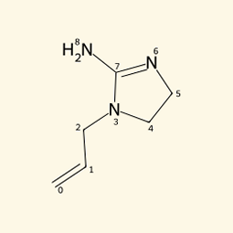 C=CCN1CCN=C1N